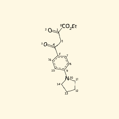 CCOC(=O)C(=O)CC(=O)c1ccc(N2CCCC2)cc1